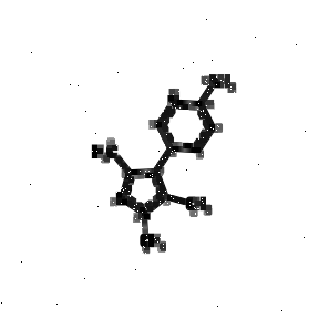 Cc1nn(C)c(C)c1-c1ccc(N)nc1